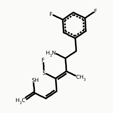 C=C(S)/C=C\C(SF)=C(/C)C(N)Cc1cc(F)cc(F)c1